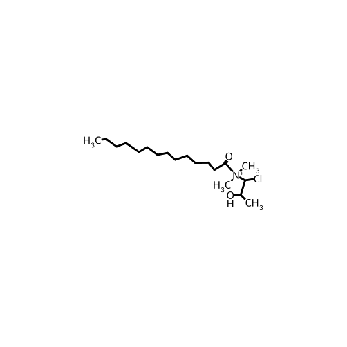 CCCCCCCCCCCCCC(=O)[N+](C)(C)C(Cl)C(C)O